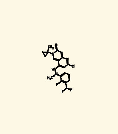 C[C@@H](Nc1cc(Cl)nc2cc(=O)n(C3(C)CC3)cc12)c1cccc(C(F)F)c1F